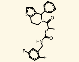 CC(CC(=O)NCc1cc(F)ccc1F)C(=O)N1CCc2sccc2C1c1ccccc1